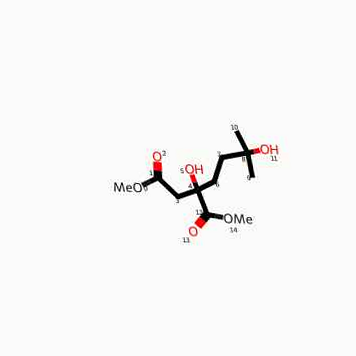 COC(=O)CC(O)(CCC(C)(C)O)C(=O)OC